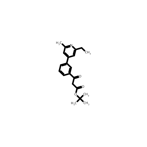 CCc1cc(-c2cccc(C(=O)CC(=O)OC(C)(C)C)c2)cc(C)n1